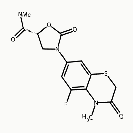 CNC(=O)[C@H]1CN(c2cc(F)c3c(c2)SCC(=O)N3C)C(=O)O1